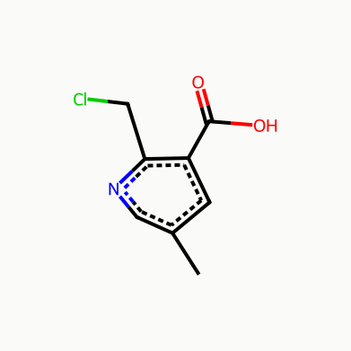 Cc1cnc(CCl)c(C(=O)O)c1